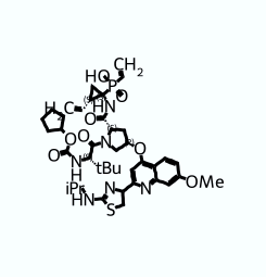 C=C[C@@H]1C[C@]1(NC(=O)[C@@H]1C[C@@H](Oc2cc(C3CSC(NC(C)C)=N3)nc3cc(OC)ccc23)CN1C(=O)[C@@H](NC(=O)OC1CCCC1)C(C)(C)C)P(=O)(O)C=C